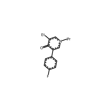 CCc1cn(C(C)C)cc(-c2ccc(F)cc2)c1=O